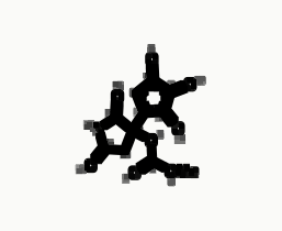 COC(=O)OC1(c2cc(=O)c(=O)c2=O)CC(=O)[N]C1=O